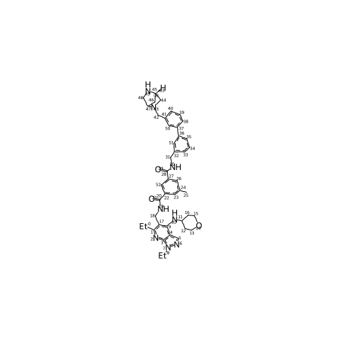 CCc1nc2c(cnn2CC)c(NC2CCOCC2)c1CNC(=O)c1cc(C)cc(C(=O)NCc2cccc(-c3cccc(CN4C[C@@H]5CC4CN5)c3)c2)c1